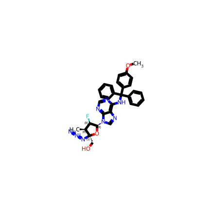 COc1ccc(C(Nc2ncnc3c2ncn3[C@@H]2O[C@@](CO)(N=[N+]=[N-])[C@@H](C)[C@H]2F)(c2ccccc2)c2ccccc2)cc1